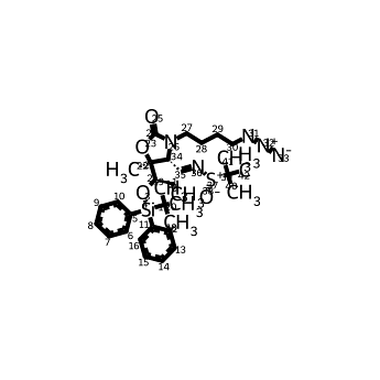 CC[C@@H](O[Si](c1ccccc1)(c1ccccc1)C(C)(C)C)[C@@]1(C)OC(=O)N(CCCCN=[N+]=[N-])[C@@H]1/C=N/[S@+]([O-])C(C)(C)C